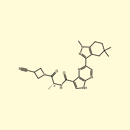 C[C@@H](NC(=O)c1c[nH]c2ncc(-c3nn(C)c4c3CC(C)(C)CC4)nc12)C(=O)N1CC(C#N)C1